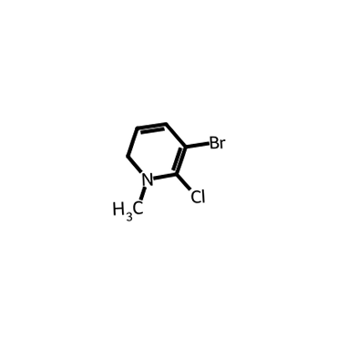 CN1CC=CC(Br)=C1Cl